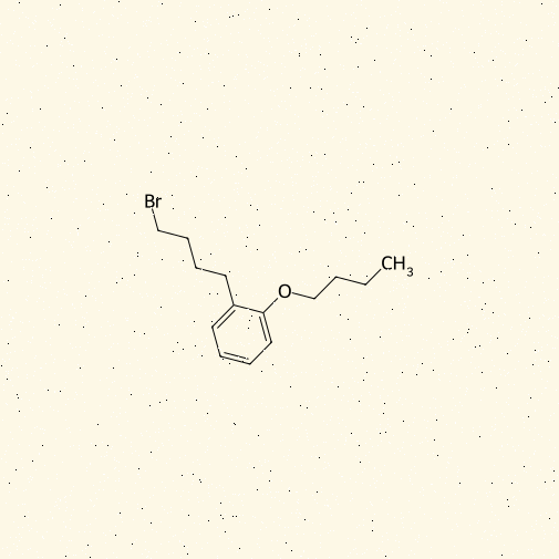 CCCCOc1ccccc1CCCCBr